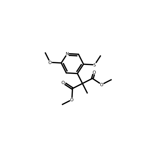 COC(=O)C(C)(C(=O)OC)c1cc(OC)ncc1SC